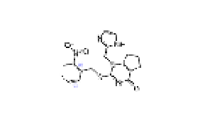 C/C=C\C(CSc1nc(=O)c2c(n1Cc1ncc[nH]1)CCC2)=C(/C)[N+](=O)[O-]